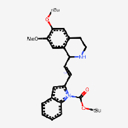 CCCCOc1cc2c(cc1OC)C(/C=C/c1cc3ccccc3n1C(=O)OC(C)(C)C)NCC2